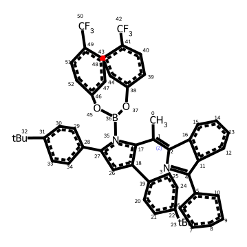 C/C(=C1/N=C(c2ccccc2)c2ccccc21)c1c(-c2ccc(C(C)(C)C)cc2)cc(-c2ccc(C(C)(C)C)cc2)n1B(Oc1ccc(C(F)(F)F)cc1)Oc1ccc(C(F)(F)F)cc1